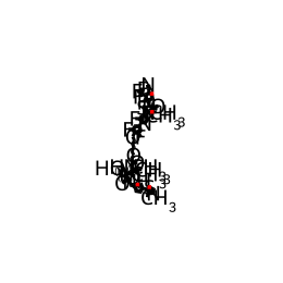 Cc1ncsc1-c1ccc(CNC(=O)[C@@H]2C[C@@H](O)CN2C(=O)[C@@H](NC(=O)COCCCCOc2c(F)cc(-c3ncc(N4C(=S)N(c5ccc(C#N)c(C(F)(F)F)c5F)C(=O)C4(C)C)cc3F)cc2F)C(C)(C)C)cc1